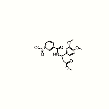 COC(=O)CC(NC(=O)c1cccc([N+](=O)[O-])c1)c1ccc(OC)c(OC)c1